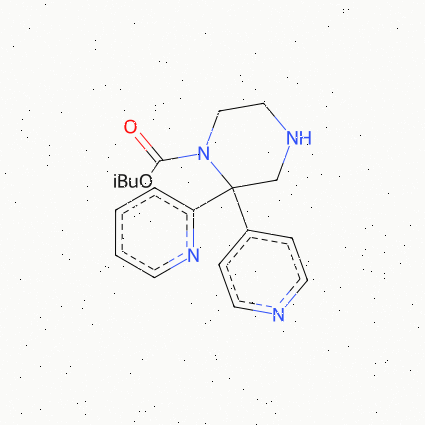 CC(C)COC(=O)N1CCNCC1(c1ccncc1)c1ccccn1